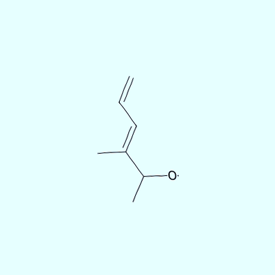 C=C/C=C(\C)C(C)[O]